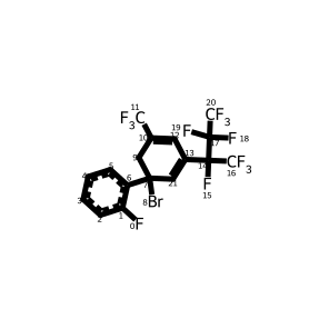 Fc1ccccc1C1(Br)[CH]C(C(F)(F)F)=CC(C(F)(C(F)(F)F)C(F)(F)C(F)(F)F)=C1